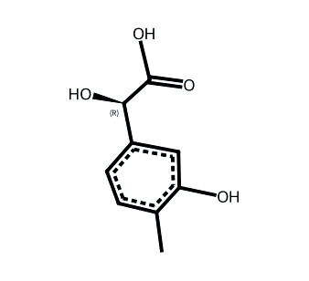 Cc1ccc([C@@H](O)C(=O)O)cc1O